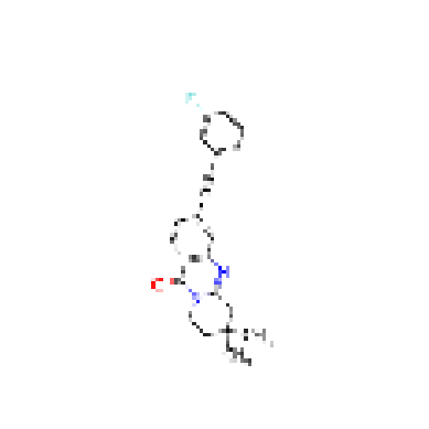 CC1(C)CCn2c(nc3cc(C#Cc4cccc(F)c4)ccc3c2=O)C1